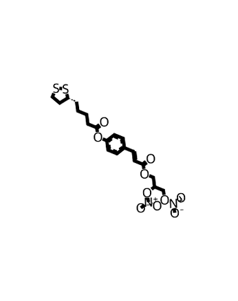 O=C(/C=C/c1ccc(OC(=O)CCCC[C@@H]2CCSS2)cc1)OCC(CO[N+](=O)[O-])O[N+](=O)[O-]